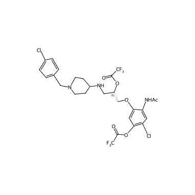 CC(=O)Nc1cc(Cl)c(OC(=O)C(F)(F)F)cc1OC[C@H](CNC1CCN(Cc2ccc(Cl)cc2)CC1)OC(=O)C(F)(F)F